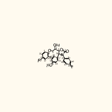 O=C1OC(C(O)COc2ccc(F)cc2F)C(c2ccc(O)cc2)N1c1ccc(F)cc1